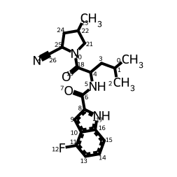 CC(C)CC(NC(=O)c1cc2c(F)cccc2[nH]1)C(=O)N1CC(C)CC1C#N